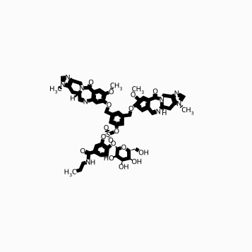 CCCNC(=O)c1ccc(O[C@@H]2O[C@H](CO)[C@H](O)[C@H](O)[C@H]2O)c(OS(=O)(=O)Oc2cc(COc3cc4c(cc3OC)C(=O)N3Cc5ncn(C)c5C[C@H]3N=C4)cc(COc3cc4c(cc3OC)C(=O)N3Cc5ncn(C)c5C[C@H]3C=N4)c2)c1